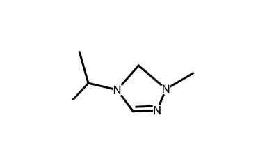 CC(C)N1C=NN(C)C1